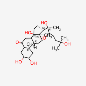 CC(C)(O)CCC(O)[C@](C)(O)[C@H]1CC[C@@]2(O)C3=CC(=O)C4CC(O)C(O)C[C@]4(C)[C@H]3CC[C@]12C